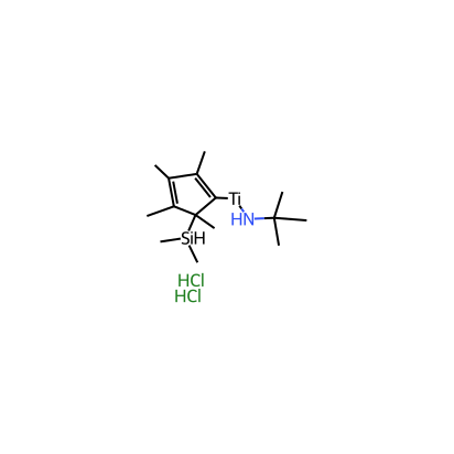 CC1=C(C)C(C)([SiH](C)C)[C]([Ti][NH]C(C)(C)C)=C1C.Cl.Cl